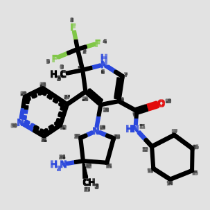 CC1(C(F)(F)F)NC=C(C(=O)NC2CCCCC2)C(N2CC[C@](C)(N)C2)=C1c1ccncc1